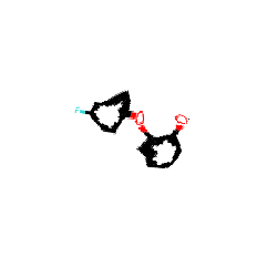 [O]c1ccccc1Oc1ccc(F)cc1